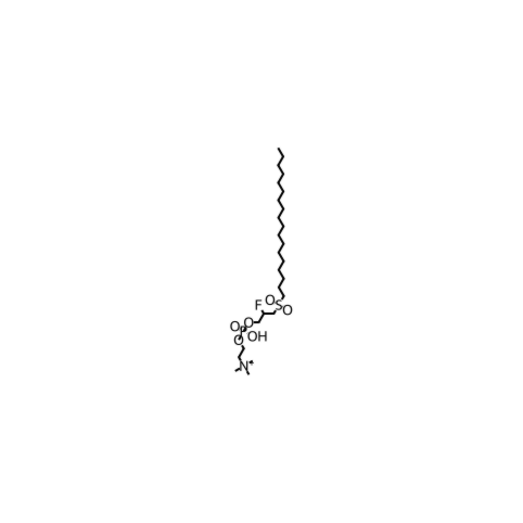 CCCCCCCCCCCCCCCCCCS(=O)(=O)CC(F)COP(=O)(O)OCC[N+](C)(C)C